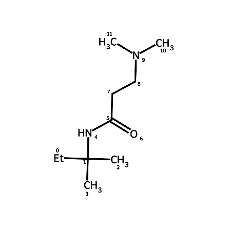 CCC(C)(C)NC(=O)CCN(C)C